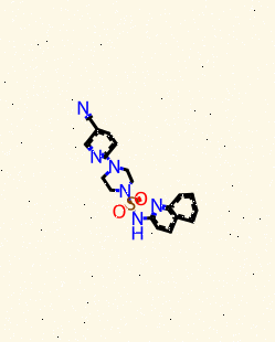 N#Cc1ccc(N2CCN(S(=O)(=O)Nc3ccc4ccccc4n3)CC2)nc1